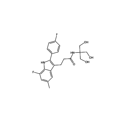 Cc1cc(F)c2[nH]c(-c3ccc(F)cc3)c(CCC(=O)NC(CO)(CO)CO)c2c1